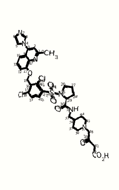 Cc1cc(-n2ccnc2)c2cccc(OCc3c(Cl)ccc(S(=O)(=O)N4CCC[C@H]4C(=O)NCC4CCN(CC(=O)CC(=O)O)CC4)c3Cl)c2n1